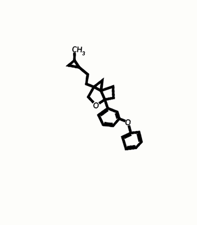 CC1CC1CCC12COC3(c4cccc(Oc5ccccc5)c4)CCC13C2